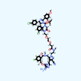 COc1ccc(C2=N[C@H](c3ccc(Cl)cc3)[C@H](c3ccc(Cl)cc3)N2C(=O)N2CCN(CCOCCOCCC(=O)N(C)CCn3nc(C#N)c4c3CN(C)C(=O)c3ccc(F)cc3[C@@H](C)Oc3nc-4cnc3N)C(=O)C2)c(OC(C)C)c1